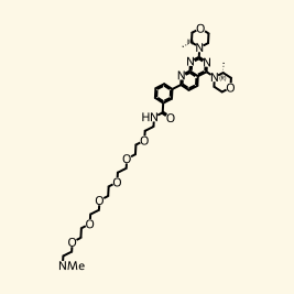 CNCCOCCOCCOCCOCCOCCOCCNC(=O)c1cccc(-c2ccc3c(N4CCOC[C@H]4C)nc(N4CCOC[C@H]4C)nc3n2)c1